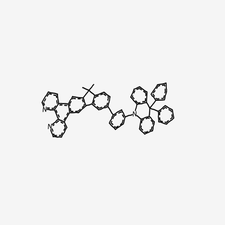 CC1(C)c2ccc(-c3cccc(N4c5ccccc5C(c5ccccc5)(c5ccccc5)c5ccccc54)c3)cc2-c2cc3c(cc21)c1cccnc1c1ncccc31